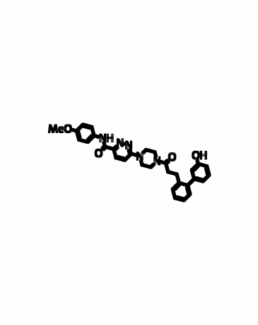 COc1ccc(NC(=O)c2ccc(N3CCN(C(=O)CCc4ccccc4-c4cccc(O)c4)CC3)nn2)cc1